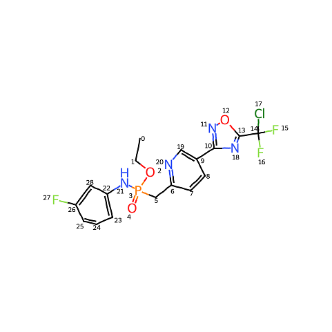 CCOP(=O)(Cc1ccc(-c2noc(C(F)(F)Cl)n2)cn1)Nc1cccc(F)c1